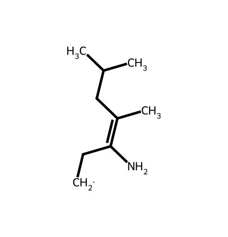 [CH2]CC(N)=C(C)CC(C)C